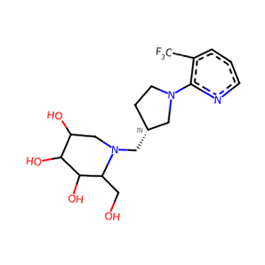 OCC1C(O)C(O)C(O)CN1C[C@@H]1CCN(c2ncccc2C(F)(F)F)C1